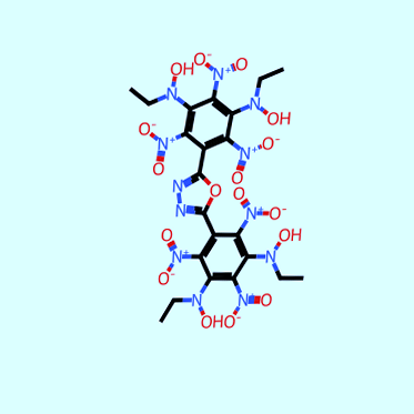 CCN(O)c1c([N+](=O)[O-])c(-c2nnc(-c3c([N+](=O)[O-])c(N(O)CC)c([N+](=O)[O-])c(N(O)CC)c3[N+](=O)[O-])o2)c([N+](=O)[O-])c(N(O)CC)c1[N+](=O)[O-]